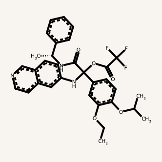 CCOc1cc(C(Nc2ccc3cnccc3c2)(OC(=O)C(F)(F)F)C(=O)N[C@H](C)c2ccccc2)ccc1OC(C)C